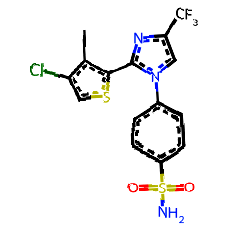 Cc1c(Cl)csc1-c1nc(C(F)(F)F)cn1-c1ccc(S(N)(=O)=O)cc1